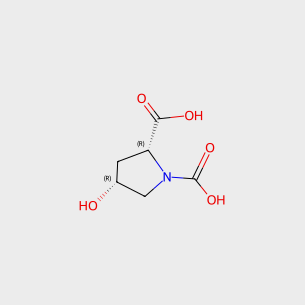 O=C(O)[C@H]1C[C@@H](O)CN1C(=O)O